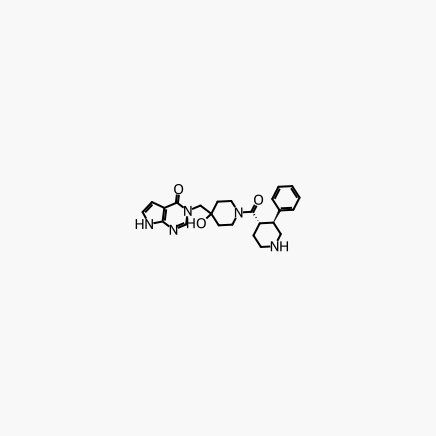 O=C([C@H]1CCNC[C@@H]1c1ccccc1)N1CCC(O)(Cn2cnc3[nH]ccc3c2=O)CC1